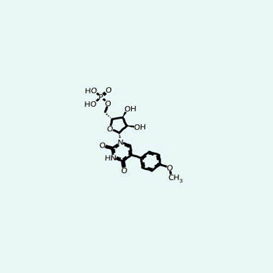 COc1ccc(-c2cn([C@@H]3O[C@H](COP(=O)(O)O)[C@@H](O)[C@H]3O)c(=O)[nH]c2=O)cc1